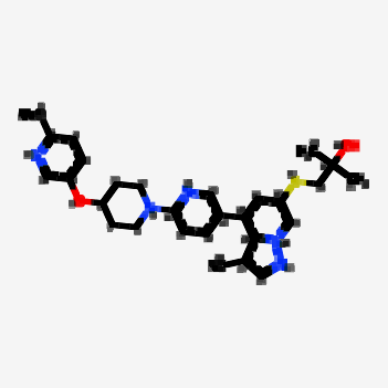 COc1ccc(OC2CCN(c3ccc(-c4cc(SCC(C)(C)O)cn5ncc(C#N)c45)cn3)CC2)cn1